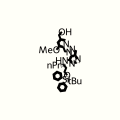 CCC[C@@H](CCO[Si](c1ccccc1)(c1ccccc1)C(C)(C)C)Nc1n[c]nc2cnn(Cc3ncc(CO)cc3OC)c12